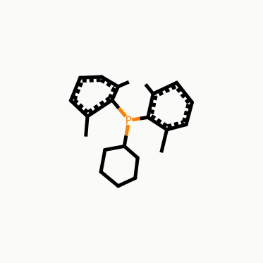 Cc1cccc(C)c1P(c1c(C)cccc1C)C1CCCCC1